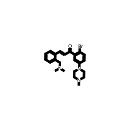 CN(C)Cc1ccccc1/C=C/C(=O)c1cc(N2CCN(C)CC2)ccc1Br